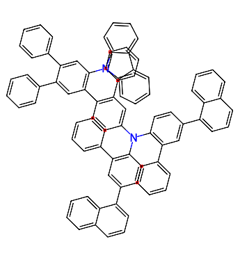 c1ccc(-c2cc(-c3ccc(N(c4ccc(-c5cccc6ccccc56)cc4-c4ccccc4)c4ccc(-c5cccc6ccccc56)cc4-c4ccccc4)cc3-c3ccccc3)c(-n3c4ccccc4c4ccccc43)cc2-c2ccccc2)cc1